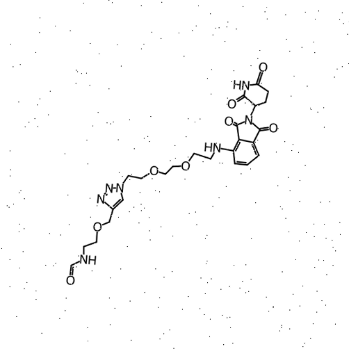 O=CNCCOCc1cn(CCOCCOCCNc2cccc3c2C(=O)N(C2CCC(=O)NC2=O)C3=O)nn1